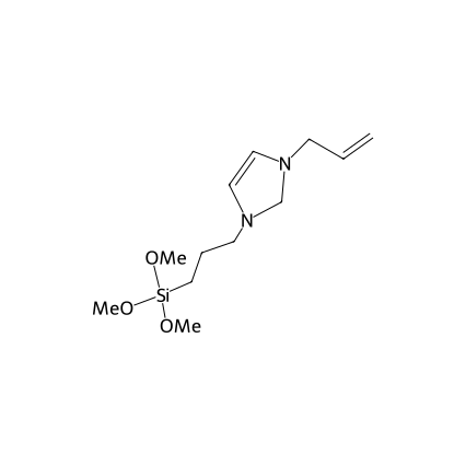 C=CCN1C=CN(CCC[Si](OC)(OC)OC)C1